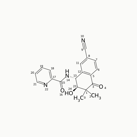 CC1(C)C(=O)c2ccc(C#N)cc2[C@@H](NC(=O)c2ccccn2)[C@@H]1O